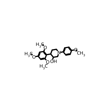 COc1ccc(N2CCC(c3c(OC)cc(OC)cc3OC)C(O)C2)cc1